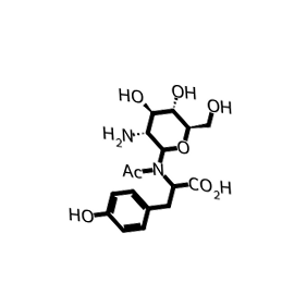 CC(=O)N(C(Cc1ccc(O)cc1)C(=O)O)C1O[C@H](CO)[C@@H](O)[C@H](O)[C@H]1N